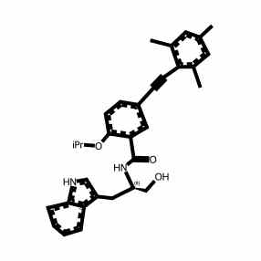 Cc1cc(C)c(C#Cc2ccc(OC(C)C)c(C(=O)N[C@@H](CO)Cc3c[nH]c4ccccc34)c2)c(C)c1